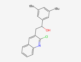 CC(C)(C)c1cc(C(O)Cc2cc3ccccc3nc2Cl)cc(C(C)(C)C)c1